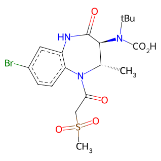 C[C@H]1[C@H](N(C(=O)O)C(C)(C)C)C(=O)Nc2cc(Br)ccc2N1C(=O)CS(C)(=O)=O